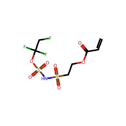 C=CC(=O)OCCS(=O)(=O)NS(=O)(=O)OC(F)(F)CF